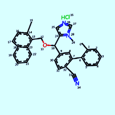 Cc1ccccc1-c1cc(C(OCc2c(C)ccc3ccccc23)c2cncn2C)ccc1C#N.Cl